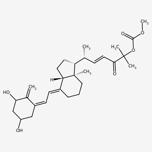 C=C1/C(=C\C=C2/CCC[C@]3(C)[C@@H]([C@H](C)/C=C/C(=O)C(C)(C)OC(=O)OC)CC[C@@H]23)CC(O)CC1O